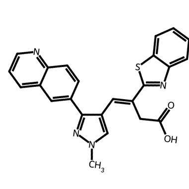 Cn1cc(/C=C(\CC(=O)O)c2nc3ccccc3s2)c(-c2ccc3ncccc3c2)n1